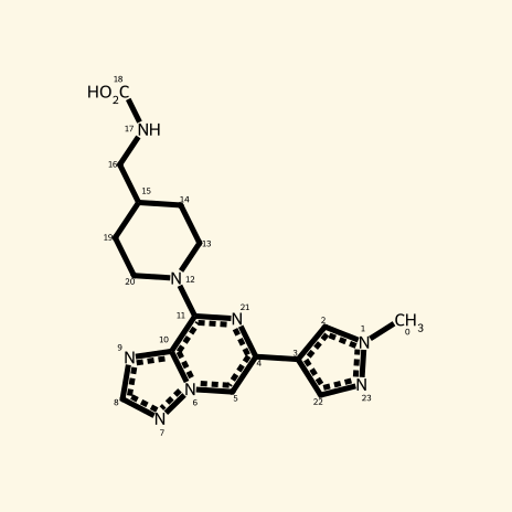 Cn1cc(-c2cn3ncnc3c(N3CCC(CNC(=O)O)CC3)n2)cn1